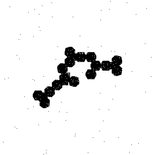 c1ccc(-c2cc(-c3ccc(-n4c5ccccc5c5ccccc54)cc3)cc(-c3cccc(-c4ccc(-n5c6ccccc6c6cc(-c7cccc(-c8cc(-c9ccc(-c%10ccc(-n%11c%12ccccc%12c%12ccccc%12%11)cc%10)cc9)nc(-c9ccccc9)n8)c7)ccc65)cc4)c3)c2)cc1